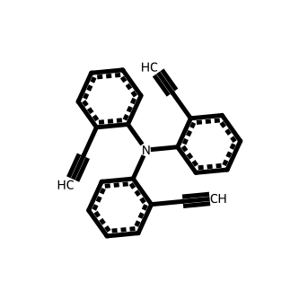 C#Cc1ccccc1N(c1ccccc1C#C)c1ccccc1C#C